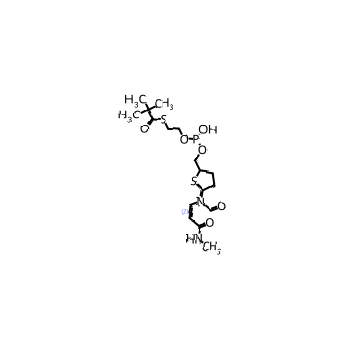 CNC(=O)/C=C\N(C=O)C1CCC(COP(O)OCCSC(=O)C(C)(C)C)S1